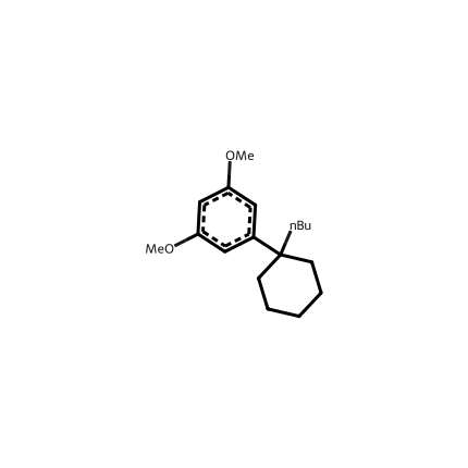 CCCCC1(c2cc(OC)cc(OC)c2)CCCCC1